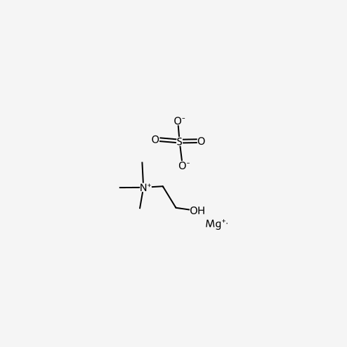 C[N+](C)(C)CCO.O=S(=O)([O-])[O-].[Mg+]